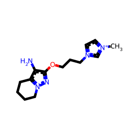 C[n+]1ccn(CCCOc2nn3c(c2N)CCCC3)c1